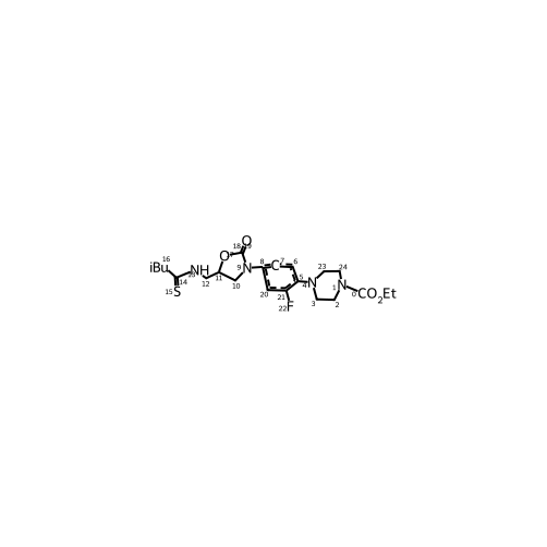 CCOC(=O)N1CCN(c2ccc(N3CC(CNC(=S)C(C)CC)OC3=O)cc2F)CC1